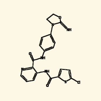 N=C1OCCN1c1ccc(NC(=O)c2ncccc2NC(=O)c2ccc(Cl)s2)cc1